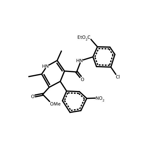 CCOC(=O)c1ccc(Cl)cc1NC(=O)C1=C(C)NC(C)=C(C(=O)OC)C1c1cccc([N+](=O)[O-])c1